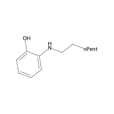 CCCCCCCNc1ccccc1O